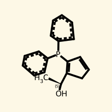 C[C@H](O)C1=C(P(c2ccccc2)c2ccccc2)C=CC1